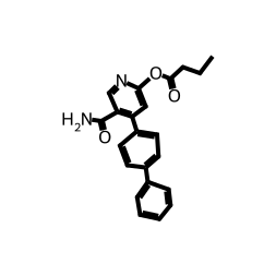 CCCC(=O)Oc1cc(-c2ccc(-c3ccccc3)cc2)c(C(N)=O)cn1